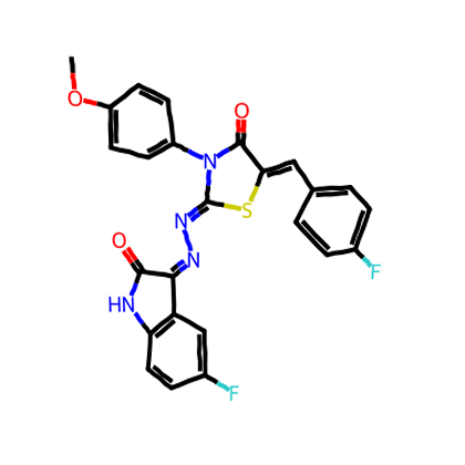 COc1ccc(N2C(=O)C(=Cc3ccc(F)cc3)SC2=NN=C2C(=O)Nc3ccc(F)cc32)cc1